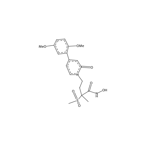 COc1ccc(OC)c(-c2ccn(CCC(C)(C(=O)NO)S(C)(=O)=O)c(=O)c2)c1